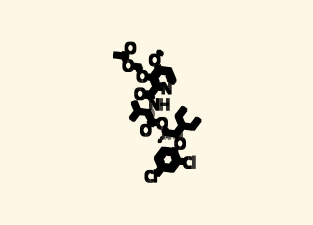 CCC(CC)[C@@H](Oc1ccc(Cl)cc1Cl)[C@H](C)OC(=O)[C@@H](NC(=O)c1nccc(OC)c1OCOC(C)=O)C(C)C